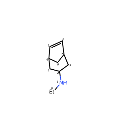 CCNC1CC2C=CC(C2)C1